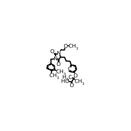 COCCN1C(=O)N(Cc2ccc(C)c(C)c2)C(=O)C1CCCc1ccc(OC(C)(C)C(=O)O)cc1